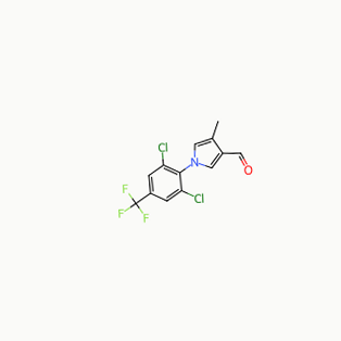 Cc1cn(-c2c(Cl)cc(C(F)(F)F)cc2Cl)cc1C=O